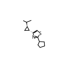 CC(C)[C@@H]1C[C@H]1c1csc(C2CCCC2)n1